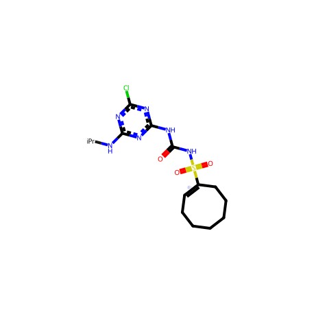 CC(C)Nc1nc(Cl)nc(NC(=O)NS(=O)(=O)/C2=C/CCCCCC2)n1